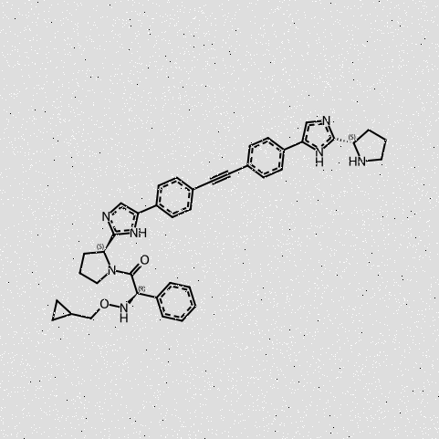 O=C([C@H](NOCC1CC1)c1ccccc1)N1CCC[C@H]1c1ncc(-c2ccc(C#Cc3ccc(-c4cnc([C@@H]5CCCN5)[nH]4)cc3)cc2)[nH]1